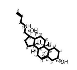 C=CCNC[C@]1(O)CC[C@H]2[C@@H]3CC=C4C[C@@H](O)CC[C@]4(C)[C@H]3CC[C@@]21C